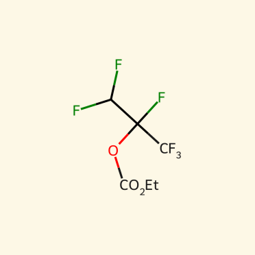 CCOC(=O)OC(F)(C(F)F)C(F)(F)F